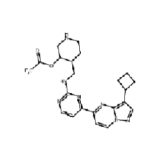 O=C(OC1CNCCC1CNc1nccc(-c2ccn3ncc(C4CCC4)c3n2)n1)C(F)(F)F